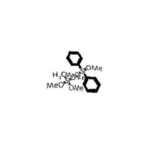 CO[Si](C)(OC)OC.CO[Si](OC)(c1ccccc1)c1ccccc1